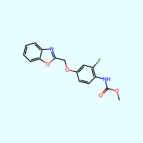 COC(=O)Nc1ccc(OCc2nc3ccccc3o2)cc1F